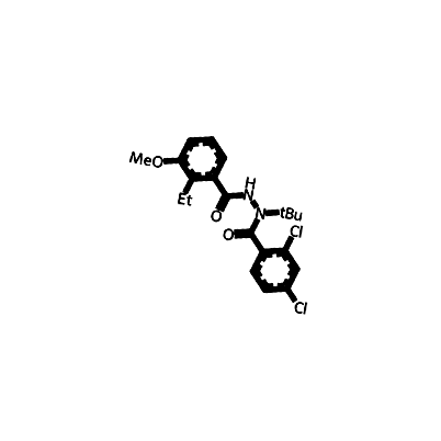 CCc1c(OC)cccc1C(=O)NN(C(=O)c1ccc(Cl)cc1Cl)C(C)(C)C